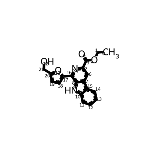 CCOC(=O)c1cc2c([nH]c3ccccc32)c(-c2ccc(CO)o2)n1